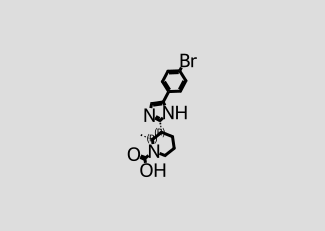 C[C@@H]1[C@H](c2ncc(-c3ccc(Br)cc3)[nH]2)CCCN1C(=O)O